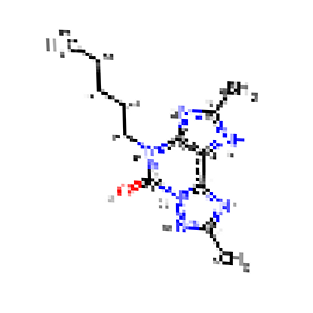 Bc1nc2c([nH]1)c1nc(C)nn1c(=O)n2CCCCC